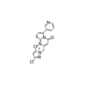 O=c1cc(Cn2nc(Cl)cc2C(F)(F)F)nc2scc(-c3cccnc3)n12